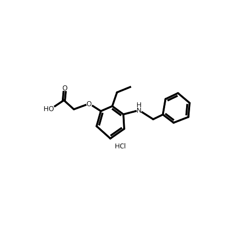 CCc1c(NCc2ccccc2)cccc1OCC(=O)O.Cl